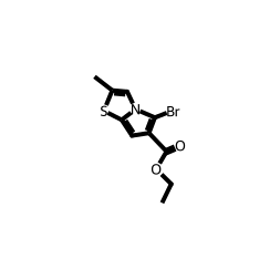 CCOC(=O)c1cc2sc(C)cn2c1Br